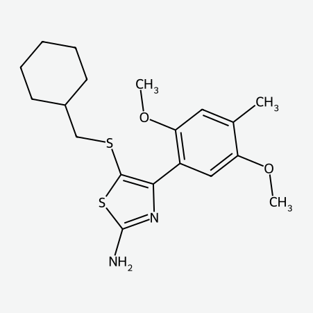 COc1cc(-c2nc(N)sc2SCC2CCCCC2)c(OC)cc1C